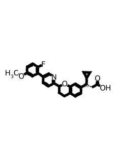 COc1ccc(F)c(-c2ccc(C3CCc4ccc([C@@H](CC(=O)O)C5CC5)cc4O3)nc2)c1